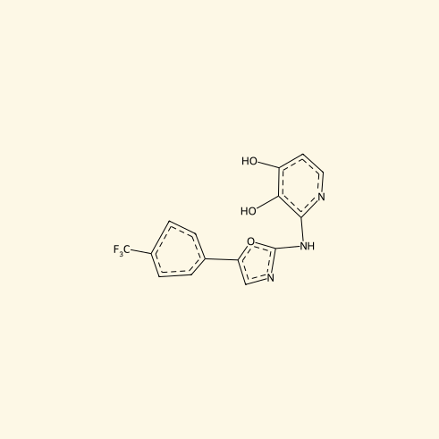 Oc1ccnc(Nc2ncc(-c3ccc(C(F)(F)F)cc3)o2)c1O